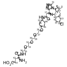 Cc1sc2c(c1C)C(c1ccc(Cl)cc1)=N[C@@H](CC(=O)Nc1ccc(OCCOCCOCCOCCNC(=O)[C@H](N)CCC(=O)O)cc1)c1nnc(C)n1-2